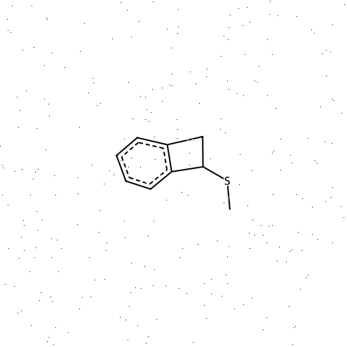 CSC1Cc2ccccc21